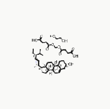 CC[C@H](/C=C/[C@@H](C)[C@H]1CC[C@H]2[C@@H]3CC=C4C[C@@H](O)CC[C@]4(C)[C@H]3CC[C@]12C)C(C)C.O=C(O)CCC(=O)OCOC(=O)CCC(=O)O.OCCO